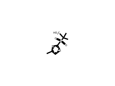 Cc1csc(S(=O)(=O)C(C)(C)C(=O)O)n1